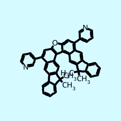 CC1(C)c2ccccc2-c2cc3c(-c4cccnc4)cc4oc5cc(-c6cccnc6)c6cc7c(cc6c5c4c3cc21)C(C)(C)c1ccccc1-7